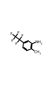 Cc1ccc(C(F)(F)C(F)(F)F)cc1N